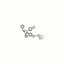 O=C1CN(Cc2ccccc2)C[C@@H](c2ccc(Cl)cc2)N1c1ccc(OCCOC2CCCCO2)cc1Cl